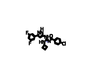 O=C(/N=C(\Nc1cc(-c2cc(F)cc(F)c2)n[nH]1)NC1CCC1)c1ccc(Cl)cc1